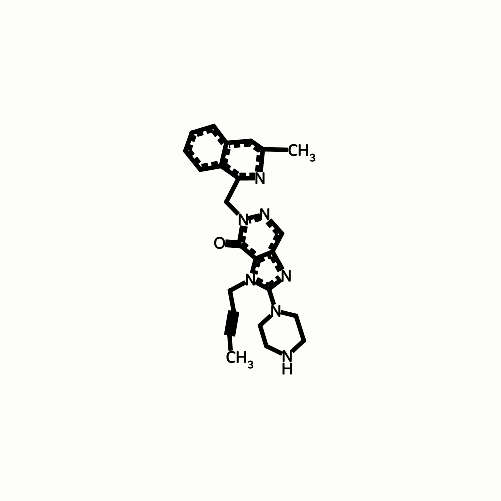 CC#CCn1c(N2CCNCC2)nc2cnn(Cc3nc(C)cc4ccccc34)c(=O)c21